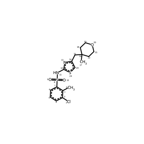 Cc1c(Cl)cccc1S(=O)(=O)Nc1nc(CC2(C)CCOCC2)cs1